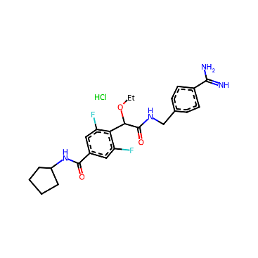 CCOC(C(=O)NCc1ccc(C(=N)N)cc1)c1c(F)cc(C(=O)NC2CCCC2)cc1F.Cl